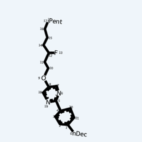 CCCCCCCCCCc1ccc(-c2ncc(OCCC(F)CCCC(C)CCC)cn2)cc1